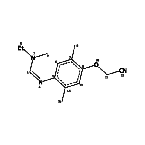 CCN(C)/C=N\c1cc(C)c(OCC#N)cc1C